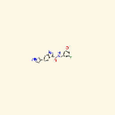 COc1cc(F)cc(CNC(=O)c2cn(C)c3cc(-c4cc[nH]c4)ccc23)c1